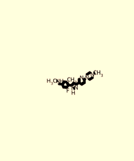 CNCc1cc(C)c(-c2cc(-c3ccc(N4CCN(C)CC4)nc3)n[nH]2)c(F)c1